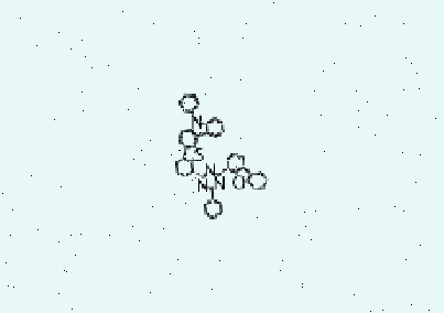 c1ccc(-c2nc(-c3cccc4c3oc3ccccc34)nc(-c3cccc4c3sc3c4ccc4c3c3ccccc3n4-c3ccccc3)n2)cc1